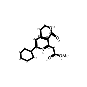 COC(=O)Cc1nc(C2CCCCC2)cc2c1C(=O)OCC2